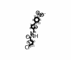 O=C(NN=Cc1ccc(-c2ccc([N+](=O)[O-])cc2)o1)c1ccc(Cl)s1